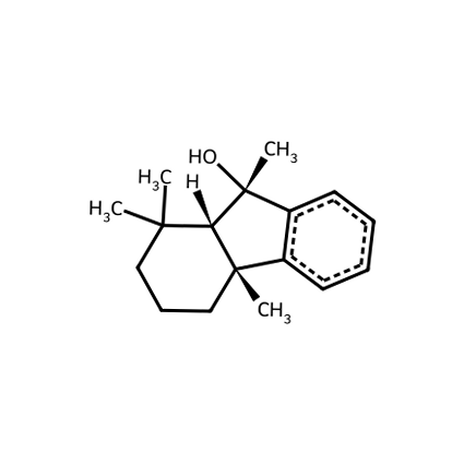 CC1(C)CCC[C@@]2(C)c3ccccc3[C@@](C)(O)[C@@H]12